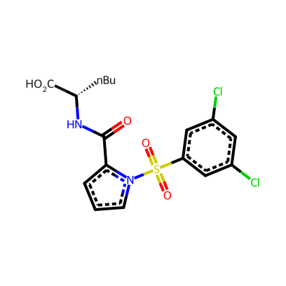 CCCC[C@H](NC(=O)c1cccn1S(=O)(=O)c1cc(Cl)cc(Cl)c1)C(=O)O